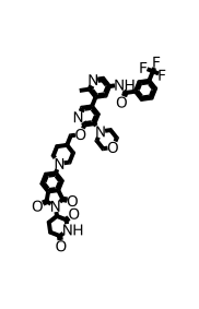 Cc1ncc(NC(=O)c2cccc(C(F)(F)F)c2)cc1-c1cnc(OCC2CCN(c3ccc4c(c3)C(=O)N(C3CCC(=O)NC3=O)C4=O)CC2)c(N2CCOCC2)c1